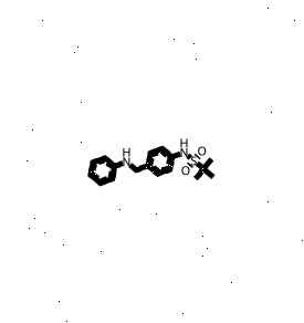 CC(C)(C)S(=O)(=O)Nc1ccc(CNc2ccccc2)cc1